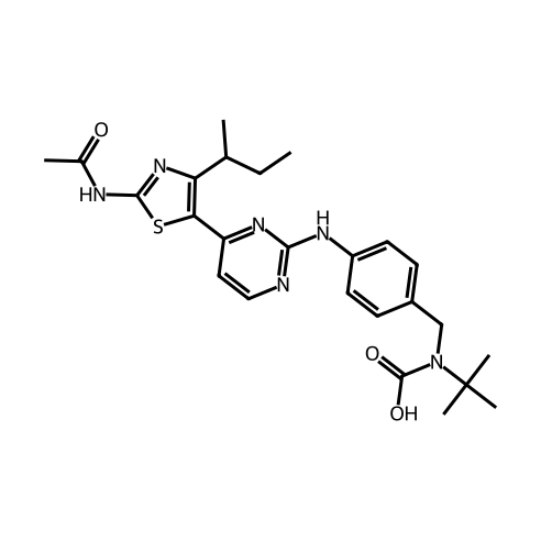 CCC(C)c1nc(NC(C)=O)sc1-c1ccnc(Nc2ccc(CN(C(=O)O)C(C)(C)C)cc2)n1